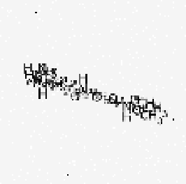 CC(C)(C)OC(=O)NCCOCCOCCNC(=O)CCCC[C@@H]1SC[C@]2(N)NC(=O)N[C@]12N